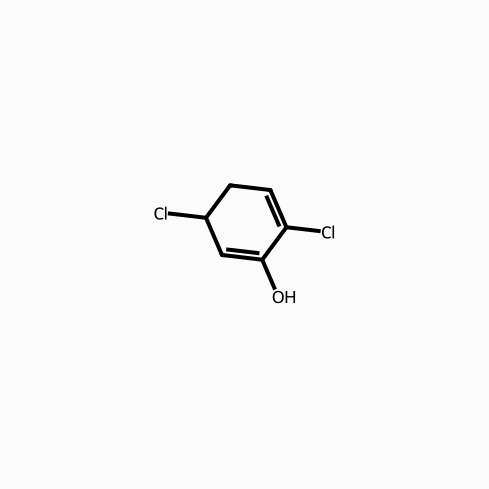 OC1=CC(Cl)CC=C1Cl